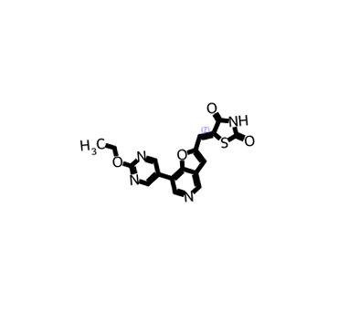 CCOc1ncc(-c2cncc3cc(/C=C4\SC(=O)NC4=O)oc23)cn1